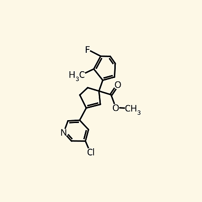 COC(=O)C1(c2cccc(F)c2C)C=C(c2cncc(Cl)c2)CC1